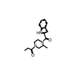 CCC(=O)N1CCN(C(=O)c2cc3ccccc3[nH]2)C(C)C1